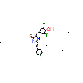 CN1C(=S)/C(=C/c2cc(F)c(O)c(F)c2)N=C1/C=C/c1ccc(F)cc1